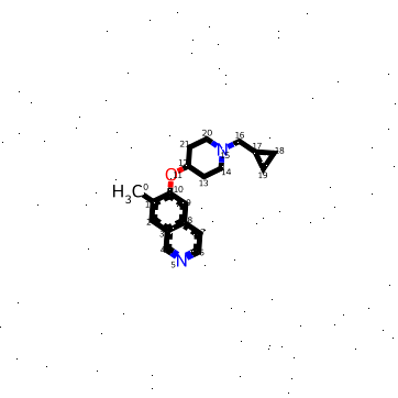 Cc1cc2cnccc2cc1OC1CCN(CC2CC2)CC1